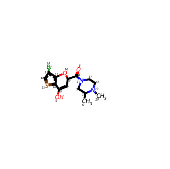 CC1CN(C(=O)C2C=C(O)c3scc(Br)c3O2)CCN1C